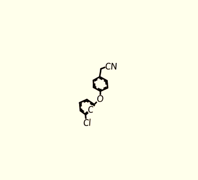 N#CCc1ccc(Oc2cccc(Cl)c2)cc1